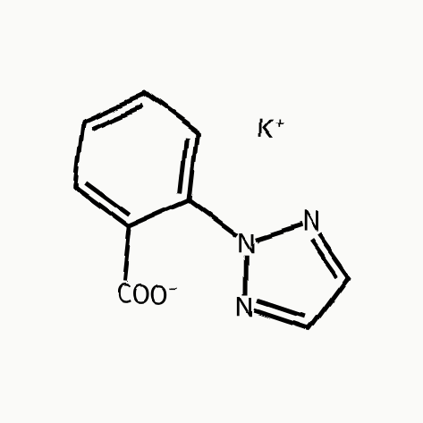 O=C([O-])c1ccccc1-n1nccn1.[K+]